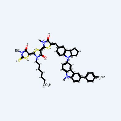 CCN1C(=O)/C(=c2\s/c(=c3/s/c(=C\c4ccc5c(c4)C4CCCC4N5c4ccc5c(c4)c4cc(-c6ccc(SC)cc6)ccc4n5C)c(=O)n3C)c(=O)n2CCCCCCC(=O)O)SC1=S